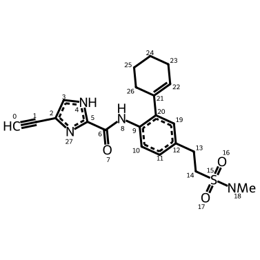 C#Cc1c[nH]c(C(=O)Nc2ccc(CCS(=O)(=O)NC)cc2C2=CCCCC2)n1